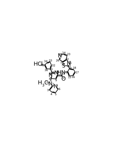 CN(c1ccccn1)c1cc(C(=O)Nc2ccccc2-c2nc3ccncc3s2)nc(-c2ccccc2)n1.Cl